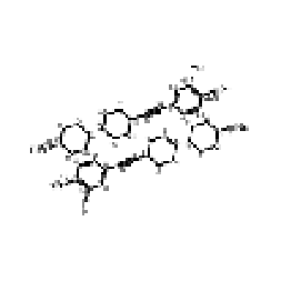 CCCC[C@H]1CC[C@H](C2CCC(C#Cc3ccc(CCC)c(F)c3)CC2)CC1.CCCc1ccc(C#CC2CCC([C@H]3CC[C@H](CCC)CC3)CC2)cc1F